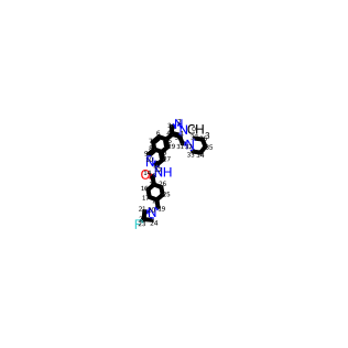 Cn1ncc(-c2ccc3cnc(NC(=O)C4CCC(CN5CC(F)C5)CC4)cc3c2)c1CN1CCCCC1